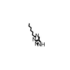 CCCCCCc1ncc2c[nH]nc2n1